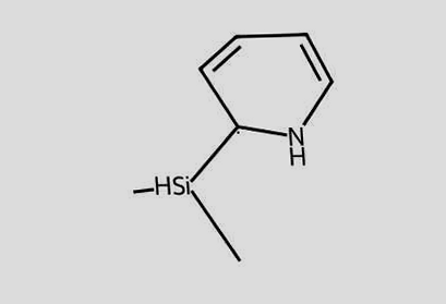 C[SiH](C)[C]1C=CC=CN1